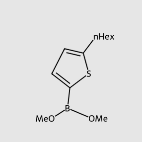 CCCCCCc1ccc(B(OC)OC)s1